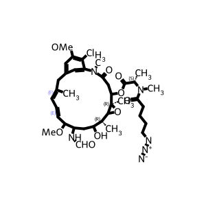 COc1cc2cc(c1Cl)N(C)C(=O)CC(OC(=O)[C@H](C)N(C)C(=O)CCCCN=[N+]=[N-])[C@@]1(C)OC1[C@H](C)C(O)CC(NC=O)C(OC)/C=C/C=C(\C)C2